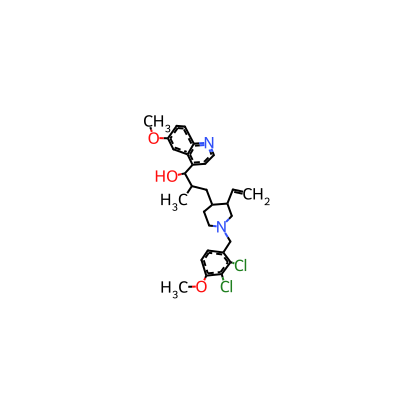 C=CC1CN(Cc2ccc(OC)c(Cl)c2Cl)CCC1CC(C)C(O)c1ccnc2ccc(OC)cc12